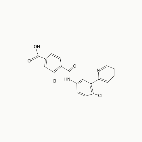 O=C(O)c1ccc(C(=O)Nc2ccc(Cl)c(-c3ccccn3)c2)c(Cl)c1